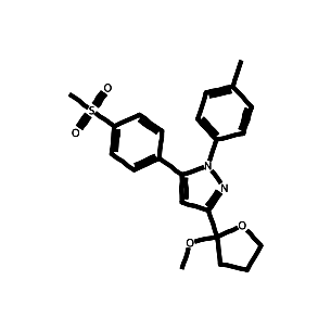 COC1(c2cc(-c3ccc(S(C)(=O)=O)cc3)n(-c3ccc(C)cc3)n2)CCCO1